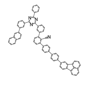 N#Cc1c(-c2ccc(-c3ccc(-c4ccc5c(c4)-c4cccc6cccc-5c46)cc3)cc2)cccc1-c1cccc(-c2nc(-c3ccccc3)nc(-c3cccc(-c4ccc5ccccc5c4)c3)n2)c1